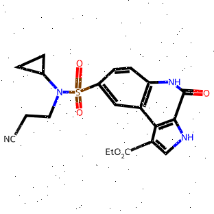 CCOC(=O)c1c[nH]c2c(=O)[nH]c3ccc(S(=O)(=O)N(CCC#N)C4CC4)cc3c12